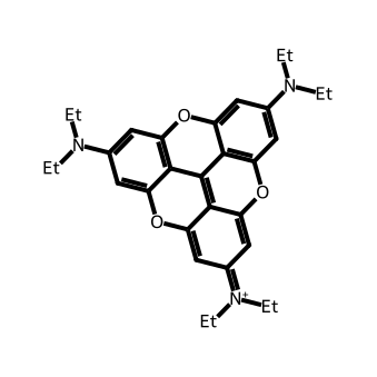 CCN(CC)c1cc2oc3cc(N(CC)CC)cc4oc5cc(=[N+](CC)CC)cc6oc(c1)c2c(c34)c65